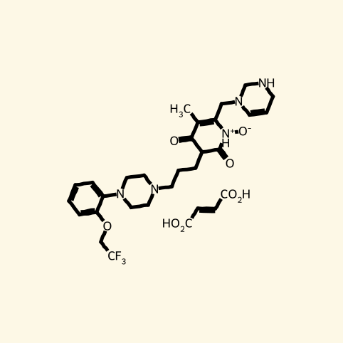 CC1=C(CN2C=CCNC2)[NH+]([O-])C(=O)C(CCCN2CCN(c3ccccc3OCC(F)(F)F)CC2)C1=O.O=C(O)C=CC(=O)O